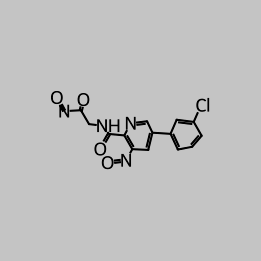 O=NC(=O)CNC(=O)c1ncc(-c2cccc(Cl)c2)cc1N=O